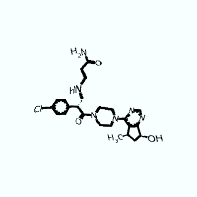 C[C@@H]1C[C@H](O)c2ncnc(N3CCN(C(=O)[C@@H](CNCCC(N)=O)c4ccc(Cl)cc4)CC3)c21